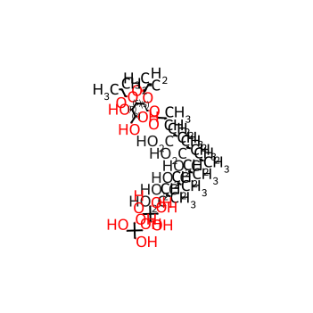 C=C(C)C(=O)O.C=C(C)C(=O)O.C=C(C)C(=O)O.C=C(C)C(=O)O.C=C(C)C(=O)O.C=C(C)C(=O)O.C=C(C)C(=O)OC[C@H](OC(=O)C(=C)C)[C@@H](OC(=O)C(=C)C)[C@H](O)[C@H](O)CO.OCC(CO)(CO)CO.OCC(CO)(CO)CO